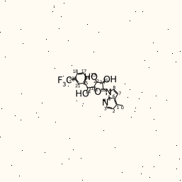 Cc1ccnc2c1ccn2C1OC(C(O)c2cccc(C(F)(F)F)c2)C(O)C1O